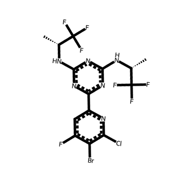 C[C@@H](Nc1nc(N[C@H](C)C(F)(F)F)nc(-c2cc(F)c(Br)c(Cl)n2)n1)C(F)(F)F